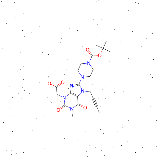 CC#CCn1c(N2CCN(C(=O)OC(C)(C)C)CC2)nc2c1c(=O)n(C)c(=O)n2CC(=O)OC